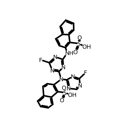 O=S(=O)(O)c1c(Nc2nc(F)nc(N(c3ncnc(F)n3)c3ccc4ccccc4c3S(=O)(=O)O)n2)ccc2ccccc12